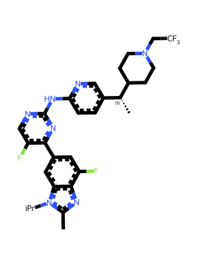 Cc1nc2c(F)cc(-c3nc(Nc4ccc([C@@H](C)C5CCN(CC(F)(F)F)CC5)cn4)ncc3F)cc2n1C(C)C